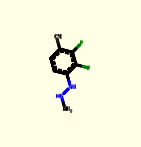 BNNc1ccc(C#N)c(F)c1F